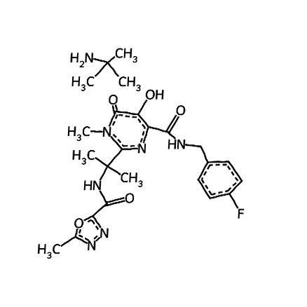 CC(C)(C)N.Cc1nnc(C(=O)NC(C)(C)c2nc(C(=O)NCc3ccc(F)cc3)c(O)c(=O)n2C)o1